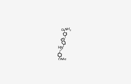 COc1ccc(CCNCc2ccc3c(ccn3Cc3ccc(C(N)=O)cc3)c2)cc1